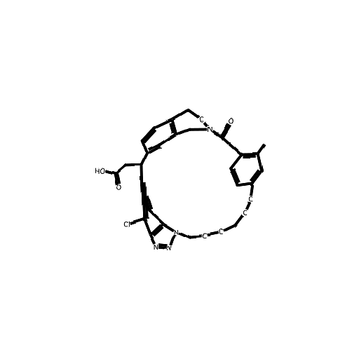 Cc1cc2ccc1C(=O)N1CCc3ccc(cc3C1)C(CC(=O)O)c1ccc3c(nnn3CCCCCC2)c1Cl